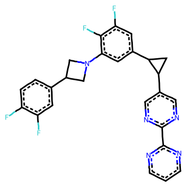 Fc1ccc(C2CN(c3cc(C4CC4c4cnc(-c5ncccn5)nc4)cc(F)c3F)C2)cc1F